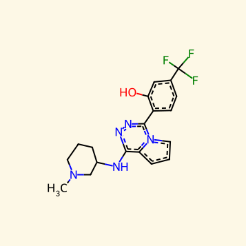 CN1CCCC(Nc2nnc(-c3ccc(C(F)(F)F)cc3O)n3cccc23)C1